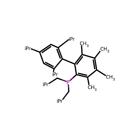 Cc1c(C)c(C)c(P(CC(C)C)CC(C)C)c(-c2c(C(C)C)cc(C(C)C)cc2C(C)C)c1C